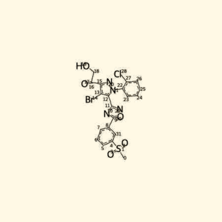 CS(=O)(=O)c1cccc(-c2nc(-c3c(Br)c(C(=O)CO)nn3-c3ccccc3Cl)no2)c1